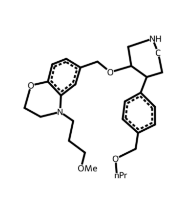 CCCOCc1ccc(C2CCNCC2OCc2ccc3c(c2)N(CCCOC)CCO3)cc1